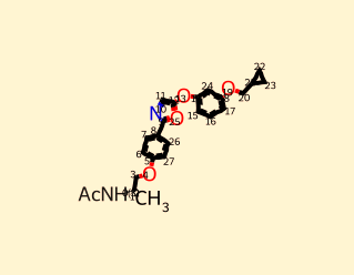 CC(=O)N[C@@H](C)COc1ccc(-c2ncc(Oc3cccc(OCC4CC4)c3)o2)cc1